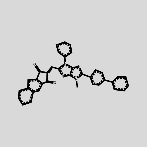 Cn1c(-c2ccc(-c3ccccc3)cc2)nc2c1nc(C=C1C(=O)c3cc4ccccc4cc3C1=O)n2-c1ccccc1